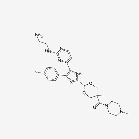 CN1CCN(C(=O)C2(C)COC(c3nc(-c4ccc(F)cc4)c(-c4ccnc(NCCN)n4)[nH]3)OC2)CC1